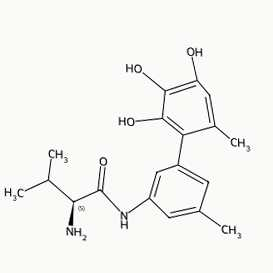 Cc1cc(NC(=O)[C@@H](N)C(C)C)cc(-c2c(C)cc(O)c(O)c2O)c1